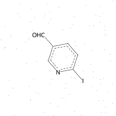 O=Cc1ccc(I)nc1